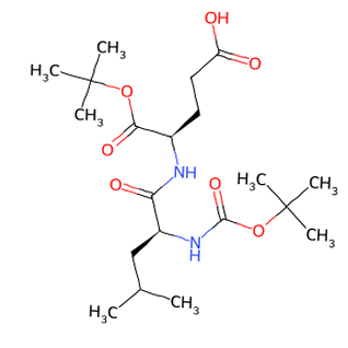 CC(C)C[C@H](NC(=O)OC(C)(C)C)C(=O)N[C@H](CCC(=O)O)C(=O)OC(C)(C)C